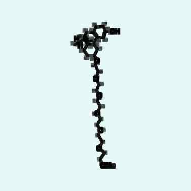 COCCOCCOCCOCCOCCOCCO[C@H]1CC[C@H]2[C@H]3Cc4ccc(O)cc4[C@@]2(CCN3C)C1